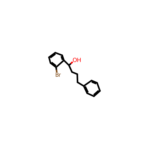 OC(CCCc1ccccc1)c1ccccc1Br